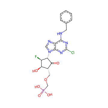 O=C1[C@@H](n2cnc3c(NCc4ccccc4)nc(Cl)nc32)[C@H](F)[C@H](O)[C@H]1COCP(=O)(O)O